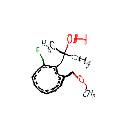 COc1cccc(F)c1C(C)(C)O